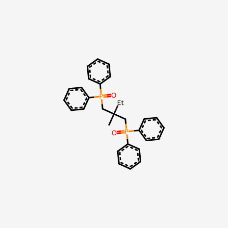 CCC(C)(CP(=O)(c1ccccc1)c1ccccc1)CP(=O)(c1ccccc1)c1ccccc1